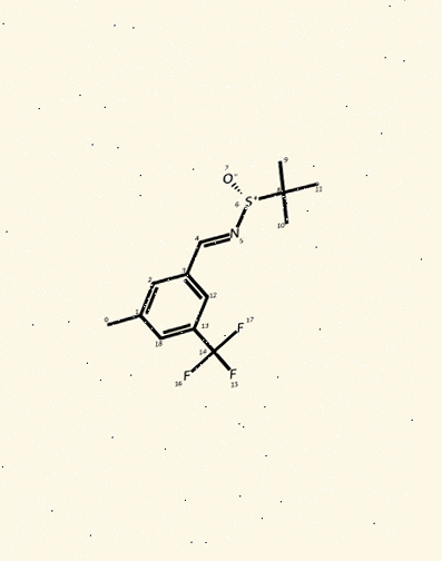 Cc1cc(/C=N/[S@+]([O-])C(C)(C)C)cc(C(F)(F)F)c1